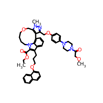 CCOC(=O)c1c(CCCOc2cccc3ccccc23)c2cccc3c2n1CCCCOCc1c-3c(COc2ccc(N3CCN(C(=O)COC)CC3)cc2)nn1C